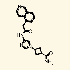 NC(=O)[C@H]1C[C@@H](n2cnc(NC(=O)Cc3cccc4cnccc34)c2)C1